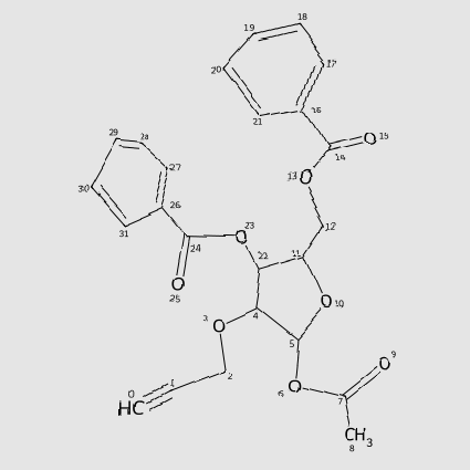 C#CCOC1C(OC(C)=O)OC(COC(=O)c2ccccc2)C1OC(=O)c1ccccc1